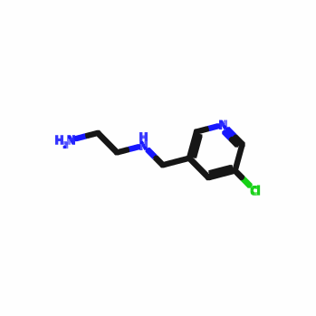 NCCNCc1cncc(Cl)c1